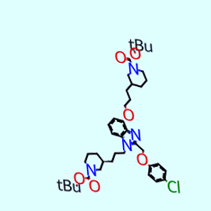 CC(C)(C)OC(=O)N1CCCC(CCCOc2cccc3c2nc(COc2ccc(Cl)cc2)n3CCC[C@@H]2CCCN(C(=O)OC(C)(C)C)C2)C1